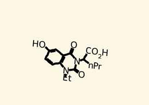 CCCC(C(=O)O)n1c(=O)c2cc(O)ccc2n(CC)c1=O